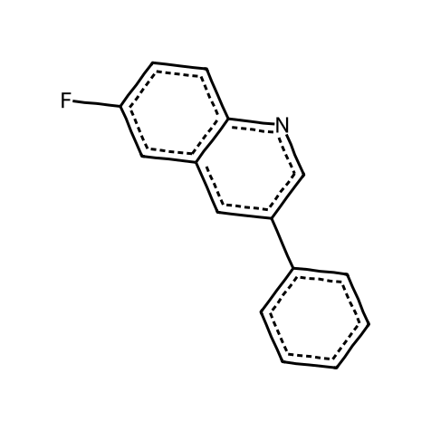 Fc1ccc2ncc(-c3ccccc3)cc2c1